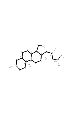 C[C@H](C[S@@+](C)[O-])[C@H]1CCC2C3CCC4C[C@@H](O)CC[C@]4(C)C3CC[C@@]21C